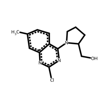 Cc1ccc2c(N3CCCC3CO)nc(Cl)nc2c1